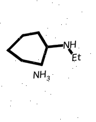 CCNC1CCCCC1.N